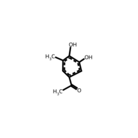 CC(=O)c1cc(C)c(O)c(O)c1